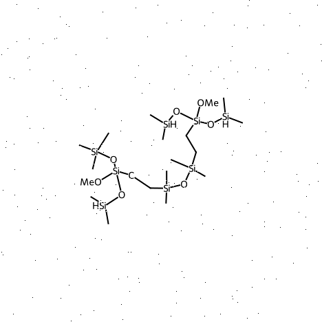 CO[Si](CC[Si](C)(C)O[Si](C)(C)CC[Si](OC)(O[SiH](C)C)O[Si](C)(C)C)(O[SiH](C)C)O[SiH](C)C